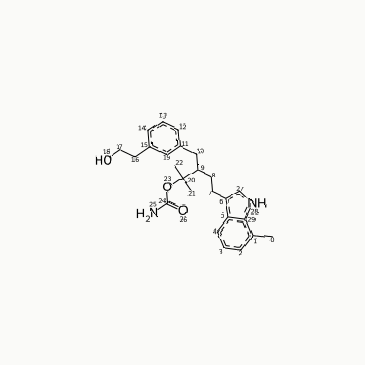 Cc1cccc2c(CCC(Cc3cccc(CCO)c3)C(C)(C)OC(N)=O)c[nH]c12